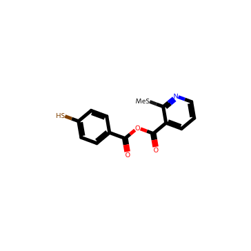 CSc1ncccc1C(=O)OC(=O)c1ccc(S)cc1